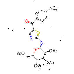 CC(=O)OC[C@H]1O[C@@H](Nc2ncc(C(=O)c3ccc([N+](=O)[O-])cc3)s2)[C@@H](OC(C)=O)[C@@H](OC(C)=O)[C@@H]1OC(C)=O